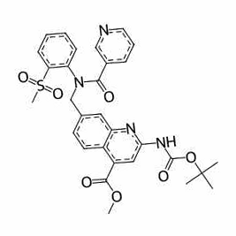 COC(=O)c1cc(NC(=O)OC(C)(C)C)nc2cc(CN(C(=O)c3cccnc3)c3ccccc3S(C)(=O)=O)ccc12